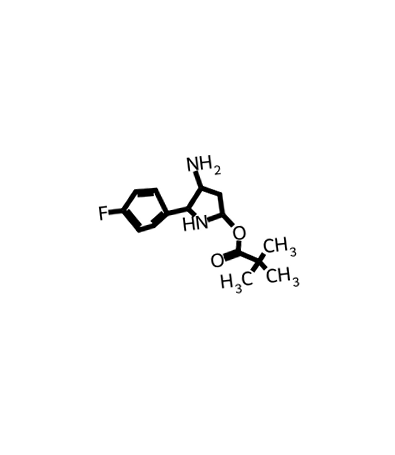 CC(C)(C)C(=O)OC1CC(N)C(c2ccc(F)cc2)N1